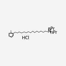 CCCN(CCC)CCCCCCCCCCCCCCCCc1ccccc1C.Cl